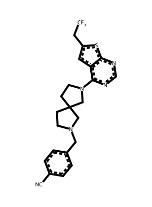 N#Cc1ccc(CN2CCC3(CCN(c4ncnc5sc(CC(F)(F)F)cc45)C3)C2)cc1